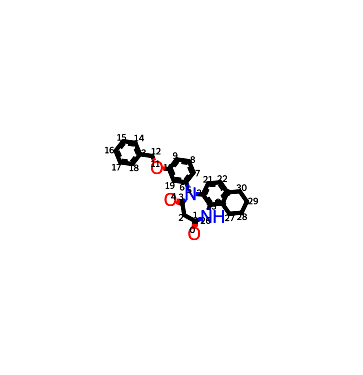 O=C1CC(=O)N(c2cccc(OCc3ccccc3)c2)c2ccc3c(c2N1)CCCC3